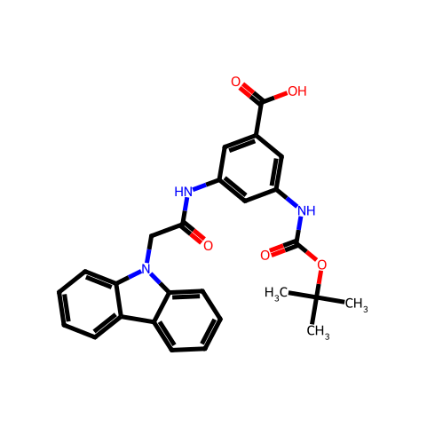 CC(C)(C)OC(=O)Nc1cc(NC(=O)Cn2c3ccccc3c3ccccc32)cc(C(=O)O)c1